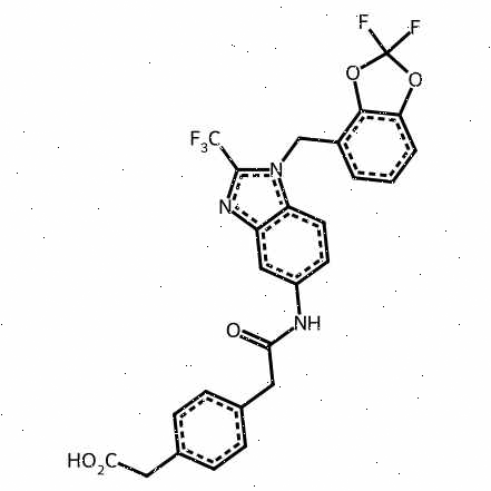 O=C(O)Cc1ccc(CC(=O)Nc2ccc3c(c2)nc(C(F)(F)F)n3Cc2cccc3c2OC(F)(F)O3)cc1